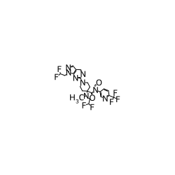 CN(CC(F)F)C1(C(=O)N(C=O)c2ccc(C(F)(F)F)nc2)CCN(c2ncc3cnn(CC(F)F)c3n2)CC1